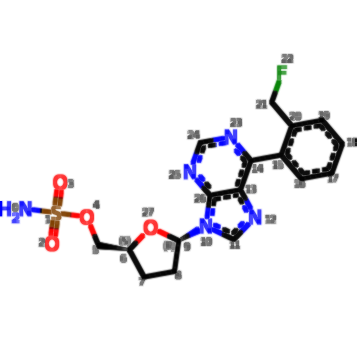 NS(=O)(=O)OC[C@@H]1CC[C@H](n2cnc3c(-c4ccccc4CF)ncnc32)O1